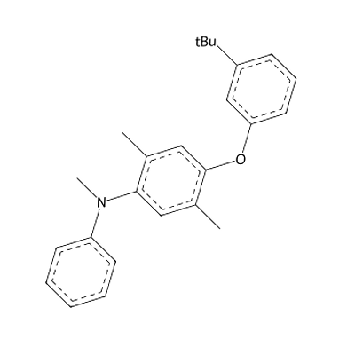 Cc1cc(N(C)c2ccccc2)c(C)cc1Oc1cccc(C(C)(C)C)c1